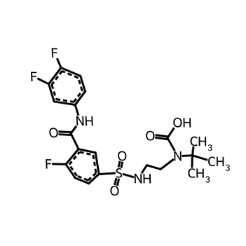 CC(C)(C)N(CCNS(=O)(=O)c1ccc(F)c(C(=O)Nc2ccc(F)c(F)c2)c1)C(=O)O